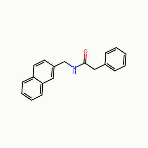 O=C(Cc1ccccc1)NCc1ccc2ccccc2c1